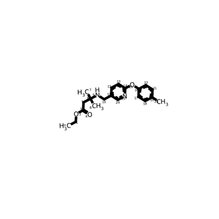 CCOC(=O)CC(C)(C)NCc1ccc(Oc2ccc(C)cc2)nc1